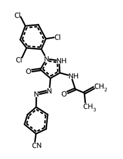 C=C(C)C(=O)Nc1[nH]n(-c2c(Cl)cc(Cl)cc2Cl)c(=O)c1/N=N/c1ccc(C#N)cc1